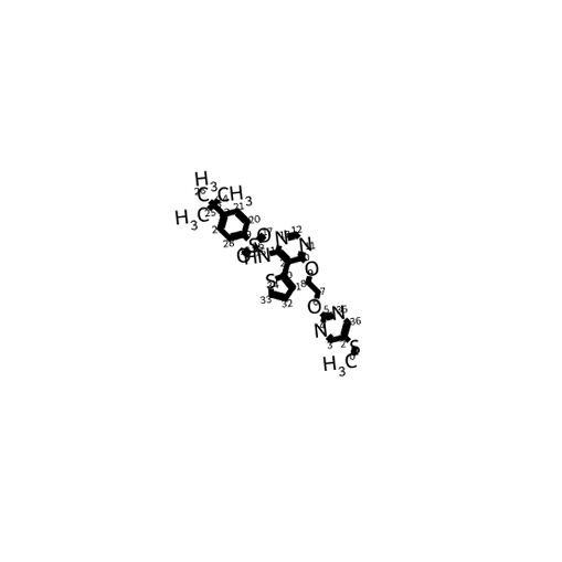 CSc1cnc(OCCOc2ncnc(NS(=O)(=O)c3ccc(C(C)(C)C)cc3)c2-c2cccs2)nc1